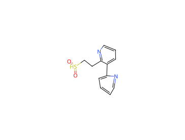 O=[SH](=O)CCc1ncccc1-c1ccccn1